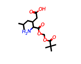 CC(C)CC(CC(=O)O)C(N)C(=O)OCOC(=O)C(C)(C)C